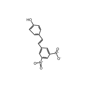 O=[N+]([O-])c1cc(/C=C/c2ccc(O)cc2)cc([N+](=O)[O-])c1